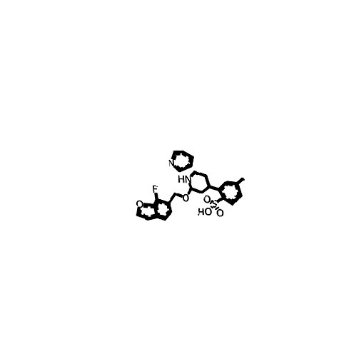 Cc1ccc(S(=O)(=O)O)c(C2CCNC(OCc3ccc4ccoc4c3F)C2)c1.c1ccncc1